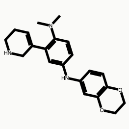 CN(C)c1ccc(Nc2ccc3c(c2)OCCO3)cc1C1=CCCNC1